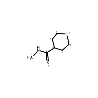 CNC(=S)C1CCOCC1